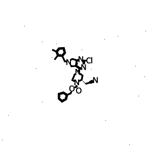 Cc1cccc(CN2Cc3nc(Cl)nc(N4CCN(C(=O)OCc5ccccc5)[C@@H](CC#N)C4)c3C2)c1C